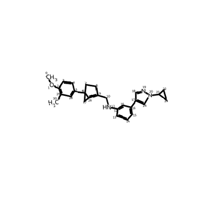 COc1ccc(C23CCC(CNc4cccc(-c5cnn(C6CC6)c5)c4)=C2C3)cc1C